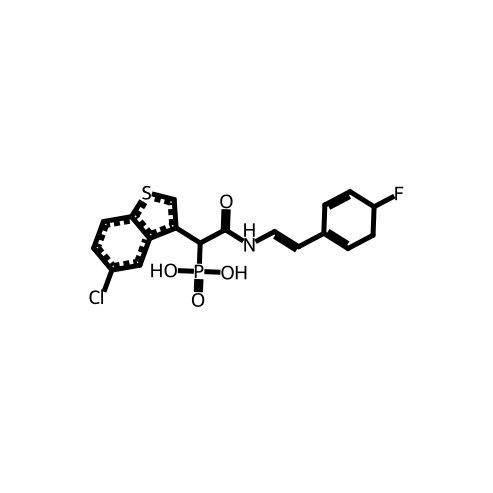 O=C(N/C=C/C1=CCC(F)C=C1)C(c1csc2ccc(Cl)cc12)P(=O)(O)O